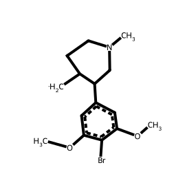 [CH2]C1CCN(C)CC1c1cc(OC)c(Br)c(OC)c1